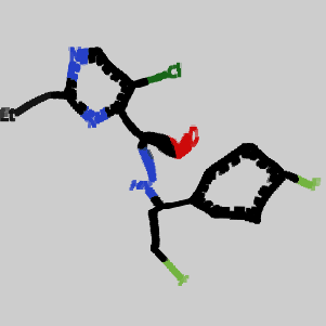 CCc1ncc(Cl)c(C(=O)NC(CF)c2ccc(F)cc2)n1